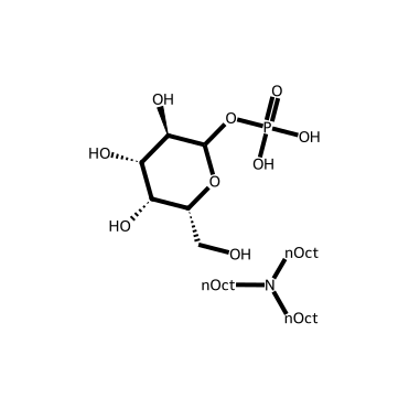 CCCCCCCCN(CCCCCCCC)CCCCCCCC.O=P(O)(O)OC1O[C@H](CO)[C@H](O)[C@H](O)[C@H]1O